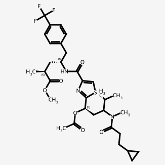 COC(=O)[C@@H](C)C[C@H](Cc1ccc(C(F)(F)F)cc1)NC(=O)c1csc([C@@H](CC(C(C)C)N(C)C(=O)CCC2CC2)OC(C)=O)n1